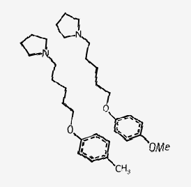 COc1ccc(OCCCCCN2CCCC2)cc1.Cc1ccc(OCCCCCN2CCCC2)cc1